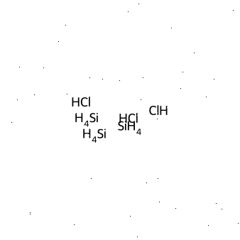 Cl.Cl.Cl.[SiH4].[SiH4].[SiH4]